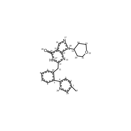 Cc1ccc(-c2ccccc2Cc2nc3c(cnn3C3CCOCC3)c(=O)[nH]2)nc1